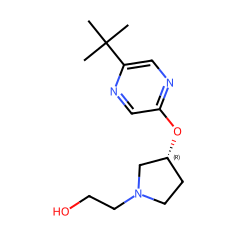 CC(C)(C)c1cnc(O[C@@H]2CCN(CCO)C2)cn1